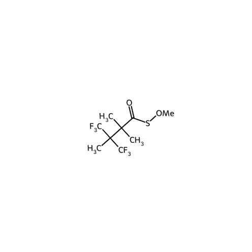 COSC(=O)C(C)(C)C(C)(C(F)(F)F)C(F)(F)F